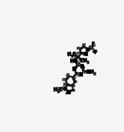 Cn1ncc2cc(-c3nc(N)nc(NC(C)(C)c4ccn(C(F)F)n4)n3)ccc21